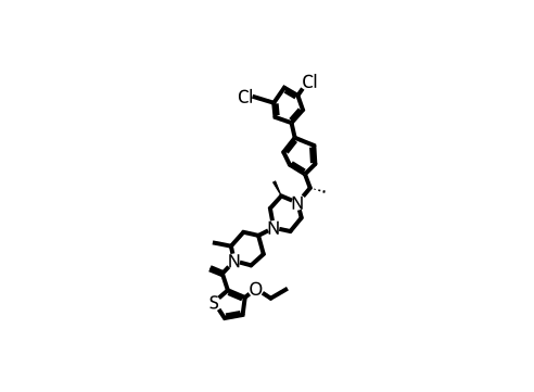 C=C(c1sccc1OCC)N1CCC(N2CCN([C@@H](C)c3ccc(-c4cc(Cl)cc(Cl)c4)cc3)[C@H](C)C2)CC1C